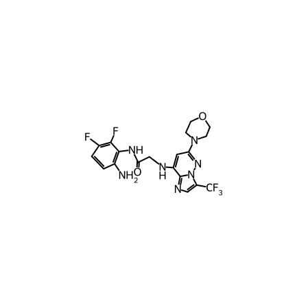 Nc1ccc(F)c(F)c1NC(=O)CNc1cc(N2CCOCC2)nn2c(C(F)(F)F)cnc12